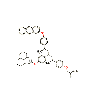 CC(CC(CC(C)c1ccc(Oc2ccc3cc4ccccc4cc3c2)cc1)c1ccc(OC2CC34CCCC5CCCC(C2C3)C54)cc1)c1ccc(OCC(C)C(F)(F)F)cc1